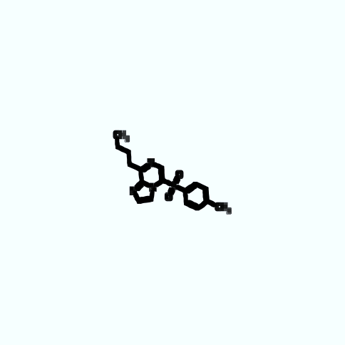 CCCCc1ncc(S(=O)(=O)c2ccc(C)cc2)n2ccnc12